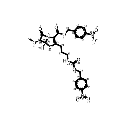 CO[C@H]1C(=O)N2C(C(=O)OCc3ccc([N+](=O)[O-])cc3)=C(CCCNC(=O)OCc3ccc([N+](=O)[O-])cc3)S[C@H]12